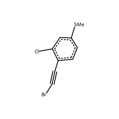 CSc1ccc(C#CBr)c(Cl)c1